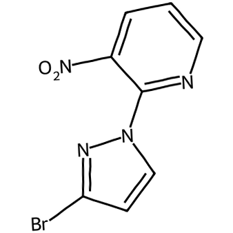 O=[N+]([O-])c1cccnc1-n1ccc(Br)n1